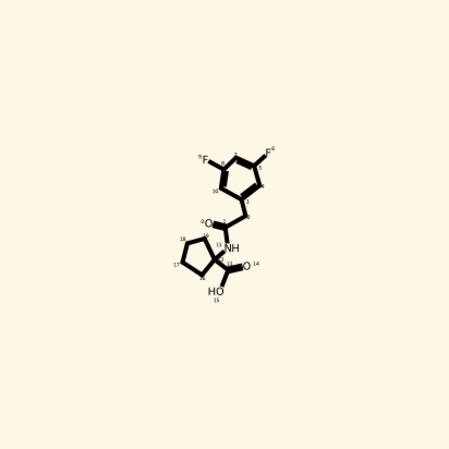 O=C(Cc1cc(F)cc(F)c1)NC1(C(=O)O)CCCC1